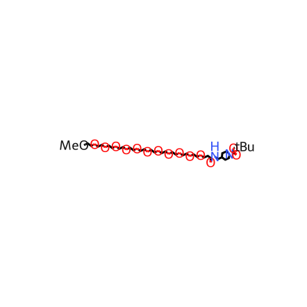 COCCOCCOCCOCCOCCOCCOCCOCCOCCOCCOCCOCCC(=O)NCC1CCN(C(=O)OC(C)(C)C)CC1